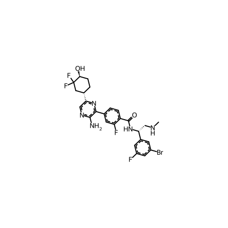 CNC[C@@H](NC(=O)c1ccc(-c2nc([C@H]3CC[C@H](O)C(F)(F)C3)cnc2N)cc1F)c1cc(F)cc(Br)c1